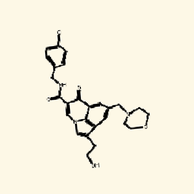 O=C(NCc1ccc(Cl)cc1)c1cn2cc(CCO)c3cc(CN4CCOCC4)cc(c1=O)c32